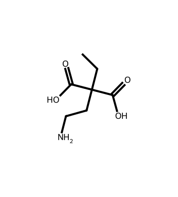 CCC(CCN)(C(=O)O)C(=O)O